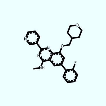 CNc1nc(-c2cccnc2)nc2c(OCC3CCOCC3)cc(-c3ccccc3F)cc12